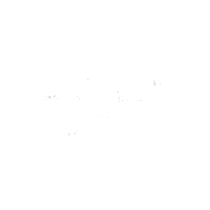 CC(C)CNCC(C)C(=O)OCC(C)C